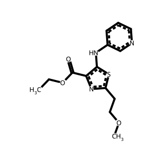 CCOC(=O)c1nc(CCOC)sc1Nc1cccnc1